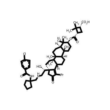 CC(C)C1=C2[C@H]3CC[C@@H]4[C@@]5(C)CC[C@H](OC(=O)[C@H]6C[C@@H](C(=O)O)C6(C)C)C(C)(C)[C@@H]5CC[C@@]4(C)[C@]3(C)CC[C@@]2([C@@H](O)CNCC2(NC(=O)c3ccc(Cl)cc3)CCCC2)CC1=O